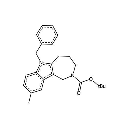 Cc1ccc2c(c1)c1c(n2Cc2ccccc2)CCCN(C(=O)OC(C)(C)C)C1